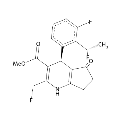 COC(=O)C1=C(CF)NC2=C(C(=O)CC2)[C@@H]1c1cccc(F)c1[C@H](C)F